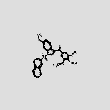 COc1ccc2c(C(=O)c3cc(OC)c(OC)c(OC)c3)nn(S(=O)(=O)c3ccc4ccccc4c3)c2c1